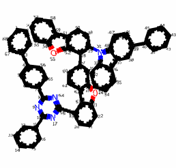 c1ccc(-c2ccc(-c3nc(-c4ccccc4)nc(-c4cccc5oc6cc(-c7c(-n8c9ccccc9c9cc(-c%10ccccc%10)ccc98)ccc8c7oc7ccccc78)ccc6c45)n3)cc2)cc1